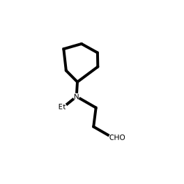 CCN(CCC=O)C1CCCCC1